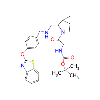 CC(C)(C)OC(=O)NCC(=O)N1CC2CC2C1CNCc1ccc(Oc2nc3ccccc3s2)cc1